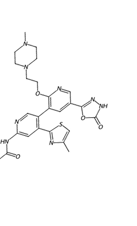 CCNC(=O)Nc1cc(-c2nc(C)cs2)c(-c2cc(-c3n[nH]c(=O)o3)cnc2OCCN2CCN(C)CC2)cn1